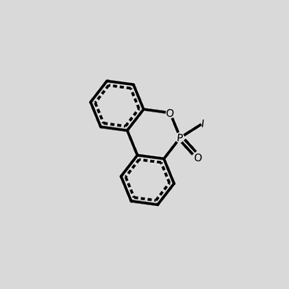 O=P1(I)Oc2ccccc2-c2ccccc21